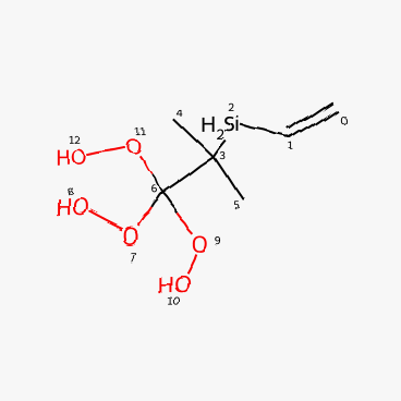 C=C[SiH2]C(C)(C)C(OO)(OO)OO